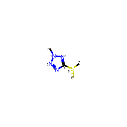 Cn1nnc([SH](C)C)n1